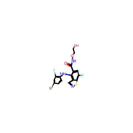 O=C(NOCCO)c1cc(F)c2sncc2c1Nc1ccc(Br)cc1F